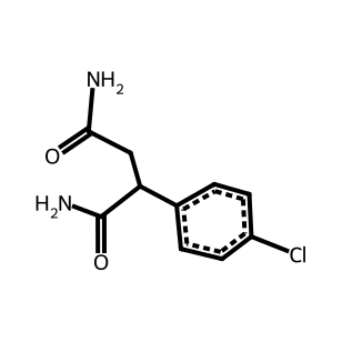 NC(=O)CC(C(N)=O)c1ccc(Cl)cc1